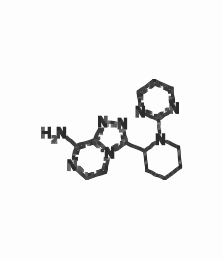 Nc1nccn2c(C3CCCCN3c3ncccn3)nnc12